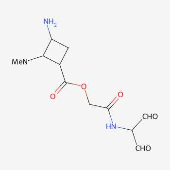 CNC1C(N)CC1C(=O)OCC(=O)NC(C=O)C=O